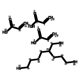 C=CC(=O)O.C=CC(=O)O.C=CC(=O)O.SCCSCC(CS)SCCS